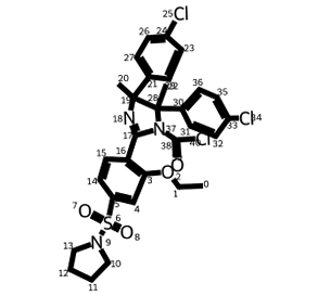 CCOc1cc(S(=O)(=O)N2CCCC2)ccc1C1=NC(C)(c2ccc(Cl)cc2)C(C)(c2ccc(Cl)cc2)N1C(=O)Cl